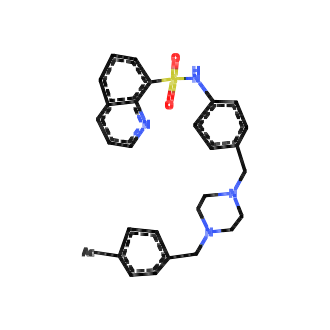 CC(=O)c1ccc(CN2CCN(Cc3ccc(NS(=O)(=O)c4cccc5cccnc45)cc3)CC2)cc1